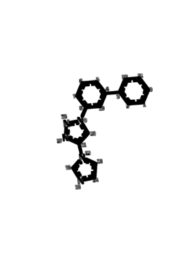 c1ccc(-c2cccc(-n3cc(-n4ccnc4)nn3)c2)cc1